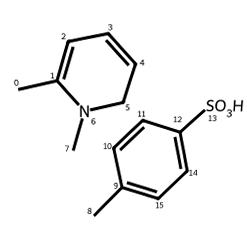 CC1=CC=CCN1C.Cc1ccc(S(=O)(=O)O)cc1